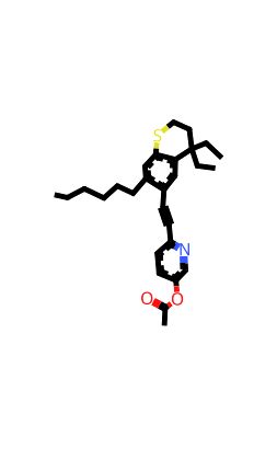 CCCCCCc1cc2c(cc1C#Cc1ccc(OC(C)=O)cn1)C(CC)(CC)CCS2